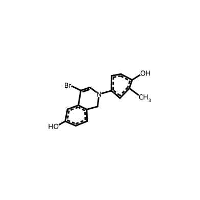 Cc1cc(N2C=C(Br)c3cc(O)ccc3C2)ccc1O